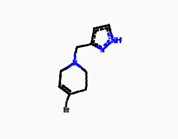 CCC1=CCN(Cc2cc[nH]n2)CC1